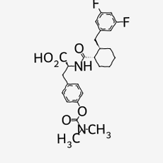 CN(C)C(=O)Oc1ccc(C[C@H](NC(=O)[C@H]2CCCC[C@@H]2Cc2cc(F)cc(F)c2)C(=O)O)cc1